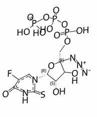 [N-]=[N+]=N[C@]1(COP(=O)(O)OP(=O)(O)OP(=O)(O)O)O[C@@H](n2cc(F)c(=O)[nH]c2=S)[C@@H](O)C1O